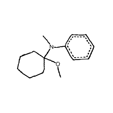 COC1(N(C)c2ccccc2)CCCCC1